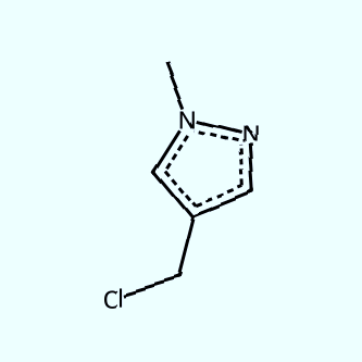 Cn1cc(CCl)cn1